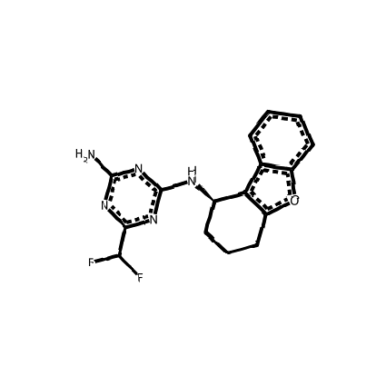 Nc1nc(N[C@@H]2CCCc3oc4ccccc4c32)nc(C(F)F)n1